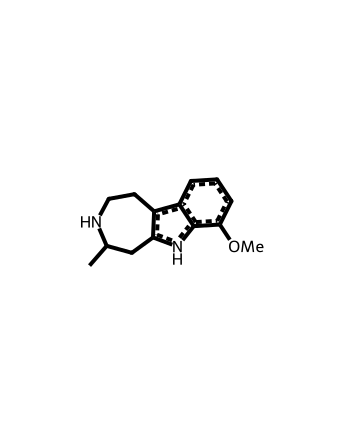 COc1cccc2c3c([nH]c12)CC(C)NCC3